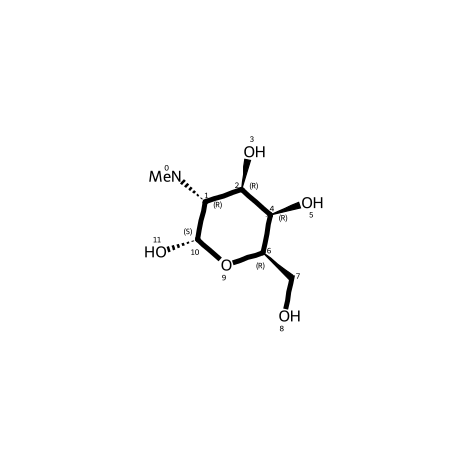 CN[C@@H]1[C@@H](O)[C@@H](O)[C@@H](CO)O[C@@H]1O